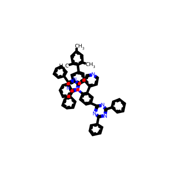 Cc1cc(C)c(-c2ccc3c(c2)c2ccccc2n3-c2ccc(-c3nc(-c4ccccc4)nc(-c4ccccc4)n3)cc2-c2ccncc2-c2nc(-c3ccccc3)nc(-c3ccccc3)n2)c(C)c1